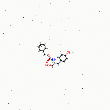 CCOc1ccc(C[C@@H](CO)NC(=O)OCc2ccccc2)cc1